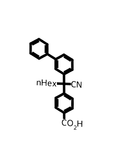 CCCCCCC(C#N)(c1ccc(C(=O)O)cc1)c1cccc(-c2ccccc2)c1